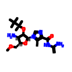 C=C(N)NC(=O)c1ncn([C@@H]2O[C@H](COC)[C@@H](N)C2O[Si](C)(C)C(C)(C)C)c1C